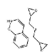 C(OCC1CO1)C1CO1.C1=Cc2ccccc2ON1